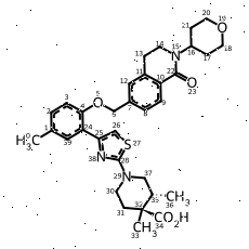 Cc1ccc(OCc2ccc3c(c2)CCN(C2CCOCC2)C3=O)c(-c2csc(N3CC[C@](C)(C(=O)O)[C@@H](C)C3)n2)c1